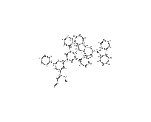 C=C/C=C(\C=C)c1nc(-c2ccccc2)cc(-c2cc(-c3ccccc3)c(-n3c4ccccc4c4cc(-n5c6ccccc6c6ccccc65)ccc43)c(-c3ccccc3)c2)n1